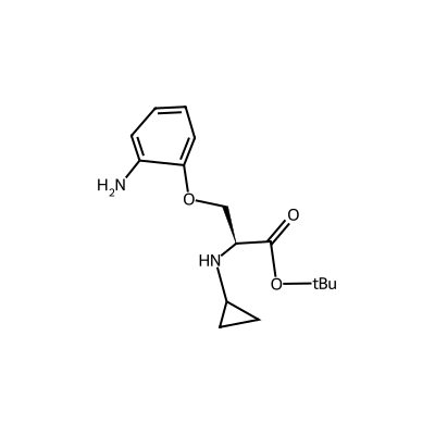 CC(C)(C)OC(=O)[C@H](COc1ccccc1N)NC1CC1